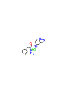 Cl.N[C@@H](Cc1ccccc1)C(=O)Nc1ccc2[nH]ncc2c1